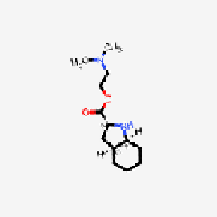 CN(C)CCOC(=O)[C@@H]1C[C@@H]2CCCC[C@@H]2N1